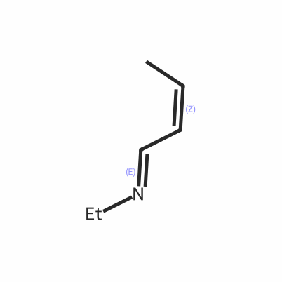 C/C=C\C=N\CC